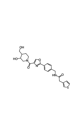 O=C(Cc1ccsc1)NCc1ccc(-c2nc(C(=O)N3CCC(CO)C(O)C3)co2)cc1